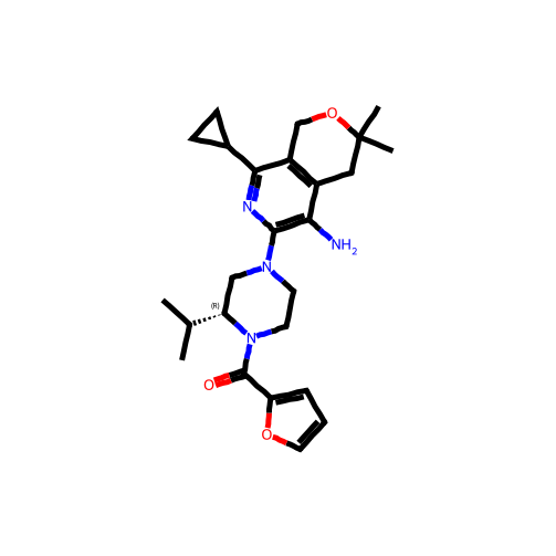 CC(C)[C@@H]1CN(c2nc(C3CC3)c3c(c2N)CC(C)(C)OC3)CCN1C(=O)c1ccco1